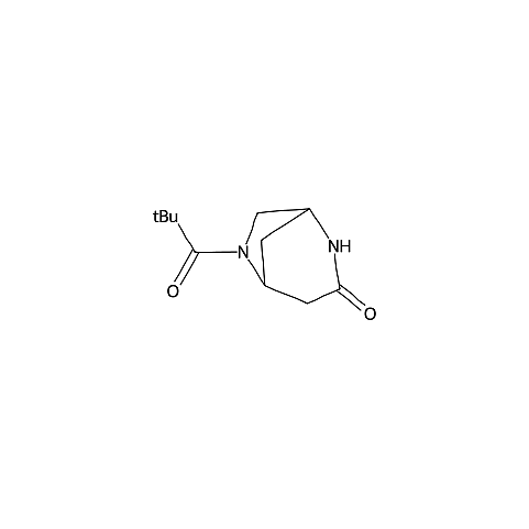 CC(C)(C)C(=O)N1CC2CC1CC(=O)N2